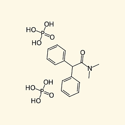 CN(C)C(=O)C(c1ccccc1)c1ccccc1.O=P(O)(O)O.O=P(O)(O)O